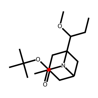 CCC(OC)C12CC(C)CC(C1)N2C(=O)OC(C)(C)C